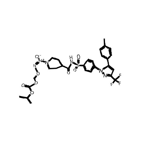 Cc1ccc(-c2cc(C(F)(F)F)nn2-c2ccc(S(=O)(=O)NC(=O)C3CCN(/[N+]([O-])=N\OCOC(=O)OC(C)C)CC3)cc2)cc1